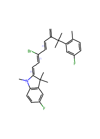 C=C(/C=C/C(Br)=C/C=C1/N(C)c2ccc(F)cc2C1(C)C)C(C)(C)c1cc(F)ccc1C